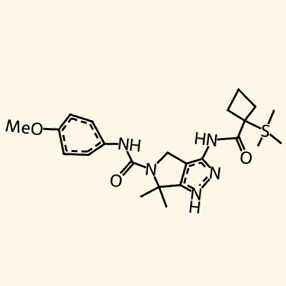 COc1ccc(NC(=O)N2Cc3c(NC(=O)C4(S(C)(C)C)CCC4)n[nH]c3C2(C)C)cc1